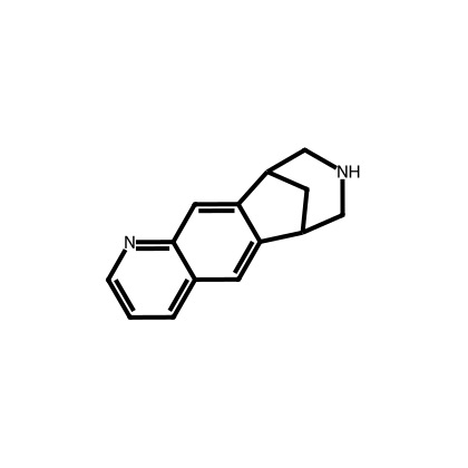 c1cnc2cc3c(cc2c1)C1CNCC3C1